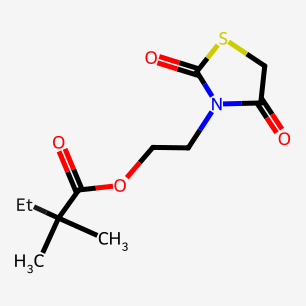 CCC(C)(C)C(=O)OCCN1C(=O)CSC1=O